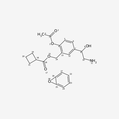 CC(=O)Oc1ccc(C(O)CN)cc1COC(=O)C1CCC1.c1ccc2c(c1)O2